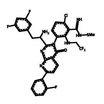 CSNC(=N)c1c(Cl)ccc(-n2c(C(N)Cc3cc(F)cc(F)c3)nc3nc(-c4ccccc4F)ccc3c2=O)c1NCC(F)(F)F